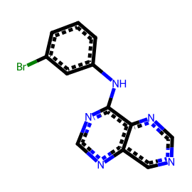 Brc1cccc(Nc2ncnc3cncnc23)c1